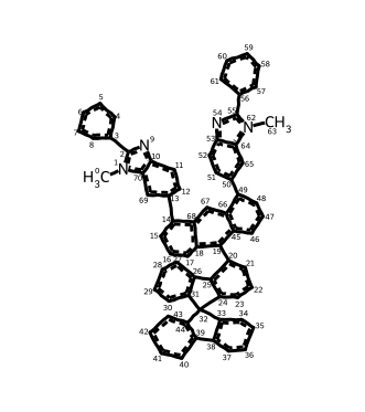 Cn1c(-c2ccccc2)nc2ccc(-c3cccc4c(-c5cccc6c5-c5ccccc5C65c6ccccc6-c6ccccc65)c5cccc(-c6ccc7nc(-c8ccccc8)n(C)c7c6)c5cc34)cc21